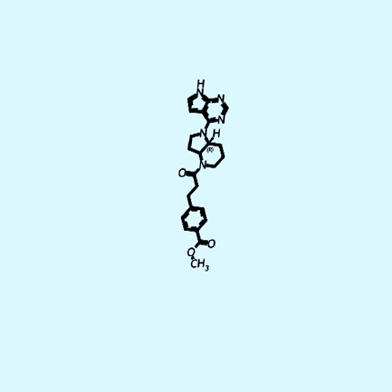 COC(=O)c1ccc(CCC(=O)N2CCC[C@@H]3C2CCN3c2ncnc3[nH]ccc23)cc1